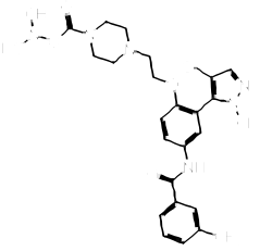 CN(C)OC(=O)N1CCN(CCOc2ccc(NC(=O)c3cccc(C(F)(F)F)c3)cc2-c2c(Cl)cnn2C)CC1